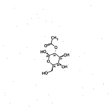 CC(=O)O[C@@H]1[C@@H](O)[C@@H](O)[C@@H](CO)O[C@H]1O